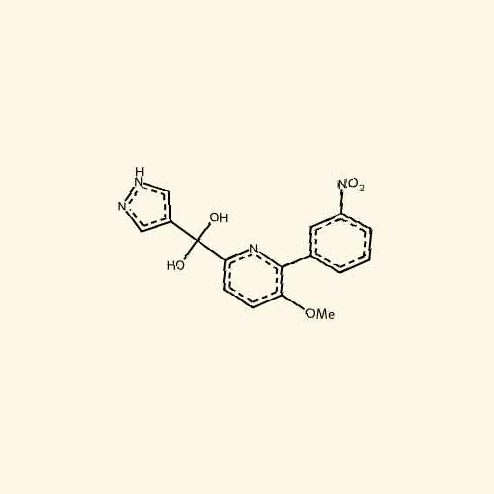 COc1ccc(C(O)(O)c2cn[nH]c2)nc1-c1cccc([N+](=O)[O-])c1